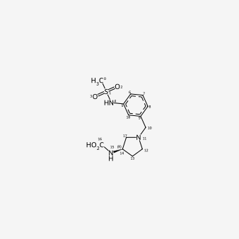 CS(=O)(=O)Nc1cccc(CN2CC[C@@H](NC(=O)O)C2)c1